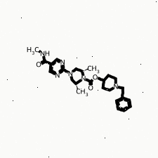 CNC(=O)c1cnc(N2C[C@@H](C)N(C(=O)OC3CCN(Cc4ccccc4)CC3)[C@@H](C)C2)nc1